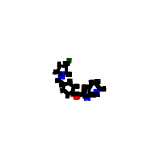 FC1CCN(Cc2ccc(Oc3nc4ncccc4s3)cc2)C1